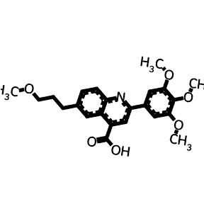 COCCCc1ccc2nc(-c3cc(OC)c(OC)c(OC)c3)cc(C(=O)O)c2c1